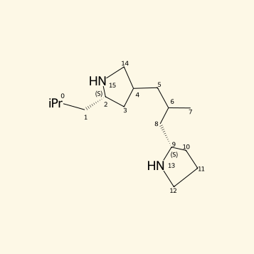 CC(C)C[C@H]1CC(CC(C)C[C@@H]2CCCN2)CN1